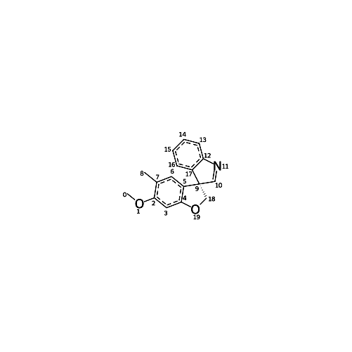 COc1cc2c(cc1C)[C@@]1(C=Nc3ccccc31)CO2